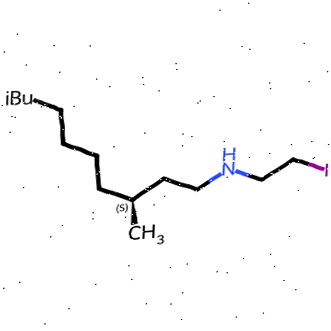 CCC(C)CCCC[C@H](C)CCNCCI